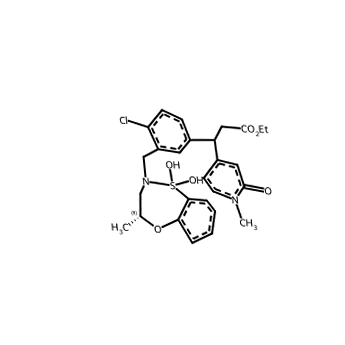 CCOC(=O)CC(c1ccc(Cl)c(CN2C[C@@H](C)Oc3ccccc3S2(O)O)c1)c1ccn(C)c(=O)c1